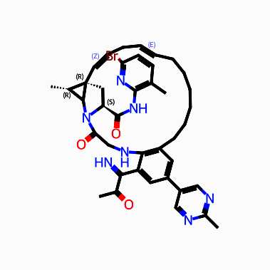 CC(=O)C(=N)c1cc(-c2cnc(C)nc2)cc2c1NCC(=O)N1C3[C@H](C)[C@]3(/C=C\C/C=C/CCCCCC2)C[C@H]1C(=O)Nc1nc(Br)ccc1C